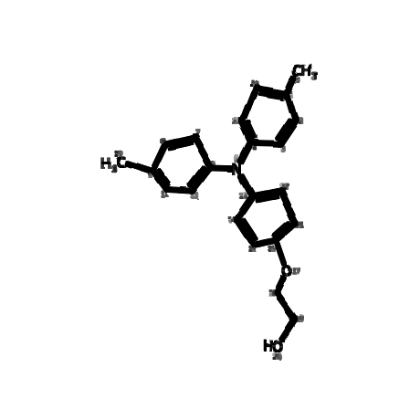 Cc1ccc(N(c2ccc(C)cc2)c2ccc(OCCO)cc2)cc1